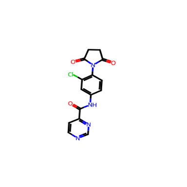 O=C(Nc1ccc(N2C(=O)CCC2=O)c(Cl)c1)c1ccncn1